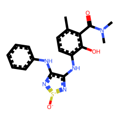 Cc1ccc(Nc2n[s+]([O-])nc2Nc2ccccc2)c(O)c1C(=O)N(C)C